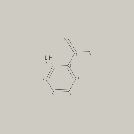 C=C(C)c1ccccc1.[LiH]